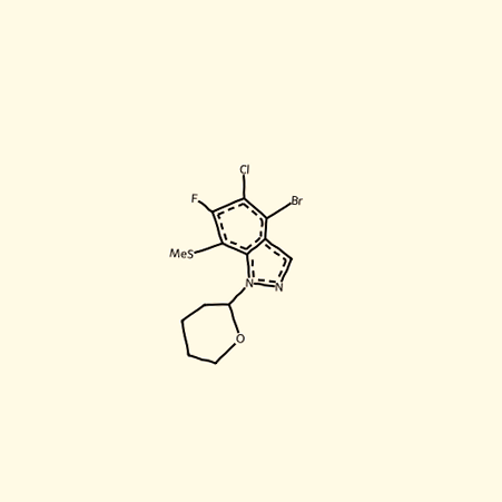 CSc1c(F)c(Cl)c(Br)c2cnn(C3CCCCO3)c12